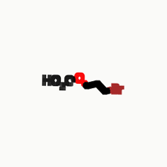 O=C(O)OCCCBr